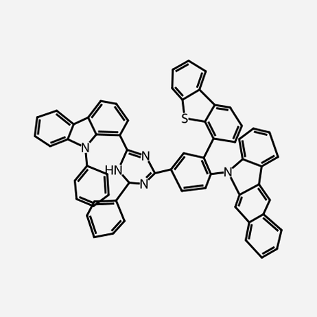 c1ccc(C2N=C(c3ccc(-n4c5ccccc5c5cc6ccccc6cc54)c(-c4cccc5c4sc4ccccc45)c3)N=C(c3cccc4c5ccccc5n(-c5ccccc5)c34)N2)cc1